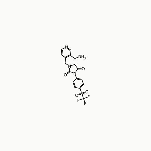 NCc1cnccc1CN1CC(=O)N(c2ccc(S(=O)(=O)C(F)(F)F)cc2)C1=O